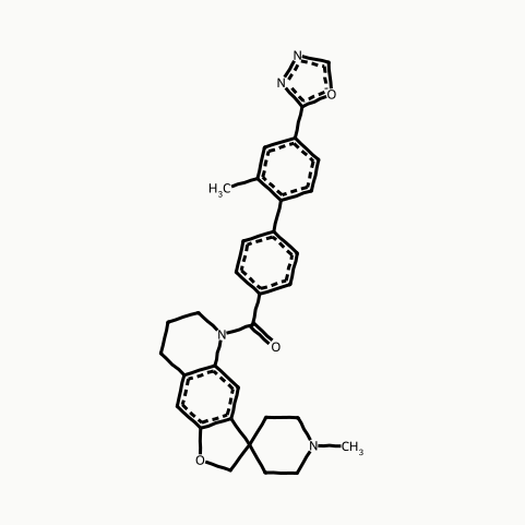 Cc1cc(-c2nnco2)ccc1-c1ccc(C(=O)N2CCCc3cc4c(cc32)C2(CCN(C)CC2)CO4)cc1